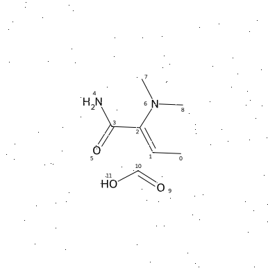 CC=C(C(N)=O)N(C)C.O=CO